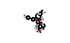 CC[C@]1(O)C[C@H]2CN(CCC3=C(Bc4ccc(-c5ccc(OC)cc5)cc43)[C@@](C(=O)OC)(C3C=C4C(=CC3OC)N(C)[C@H]3[C@@](O)(C(=O)OC)[C@H](OC(C)=O)[C@]5(CC)C=CCN6CC[C@]43[C@@H]65)C2)C1